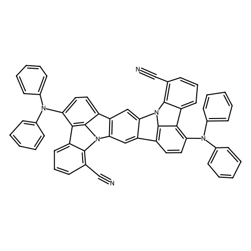 N#Cc1cccc2c3c(N(c4ccccc4)c4ccccc4)ccc4c5cc6c(cc5n(c12)c43)c1ccc(N(c2ccccc2)c2ccccc2)c2c3cccc(C#N)c3n6c12